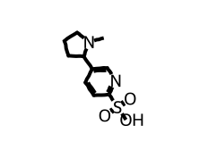 CN1CCCC1c1ccc(S(=O)(=O)O)nc1